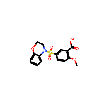 COc1ccc(S(=O)(=O)N2CCOc3ccccc32)cc1C(=O)O